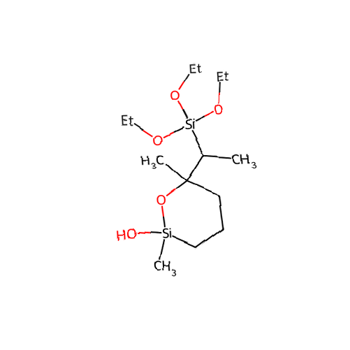 CCO[Si](OCC)(OCC)C(C)C1(C)CCC[Si](C)(O)O1